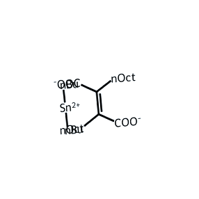 CCCCCCCCC(C(=O)[O-])=C(CCCCCCCC)C(=O)[O-].CCC[CH2][Sn+2][CH2]CCC